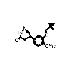 COc1ccc(C2C=NNC(=O)C2)cc1OCC1(C)CC1